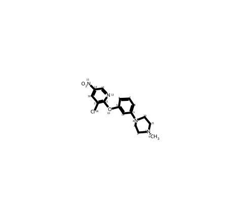 CN1CCN(c2cccc(Oc3ncc([N+](=O)[O-])cc3Cl)c2)CC1